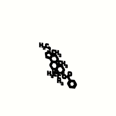 C=C[C@H]1CC=C2C3=C(CC[C@@]21C)[C@@]1(C)CC[C@H](OC(=O)c2ccccc2)C(C)(C)[C@@H]1CC3